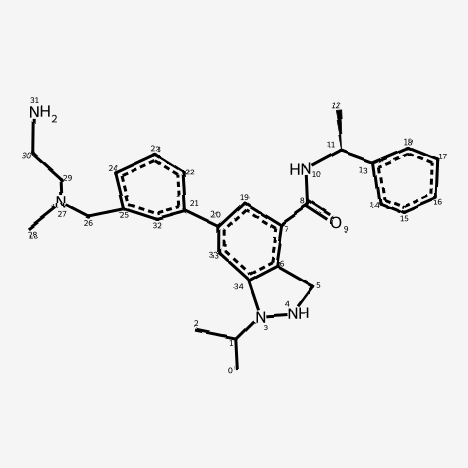 CC(C)N1NCc2c(C(=O)N[C@@H](C)c3ccccc3)cc(-c3cccc(CN(C)CCN)c3)cc21